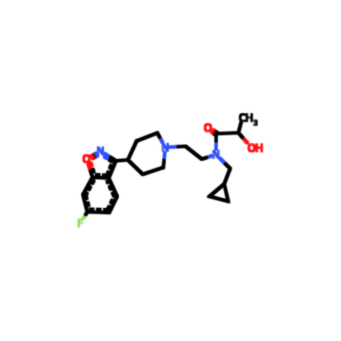 CC(O)C(=O)N(CCN1CCC(c2noc3cc(F)ccc23)CC1)CC1CC1